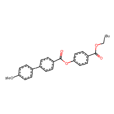 CCC(C)COC(=O)c1ccc(OC(=O)c2ccc(-c3ccc(OC)cc3)cc2)cc1